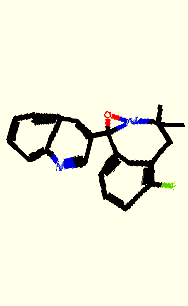 CC1(C)Cc2c(F)cccc2C2(c3cnc4ccccc4c3)ON12